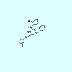 Cc1cccc(OC[C@H](COCc2ccccc2)NC(=O)Nc2ccccc2Br)c1